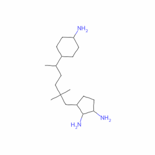 CC(CCC(C)(C)CC1CCC(N)C1N)C1CCC(N)CC1